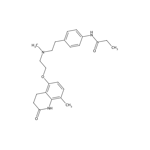 CCC(=O)Nc1ccc(CCN(C)CCOc2ccc(C)c3c2CCC(=O)N3)cc1